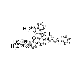 COc1cc(COC2CN(OC(=O)OC(C)(C)C)CCC2c2ccc(OCCCSCc3ccccc3)cc2)c(OC)c2ccccc12